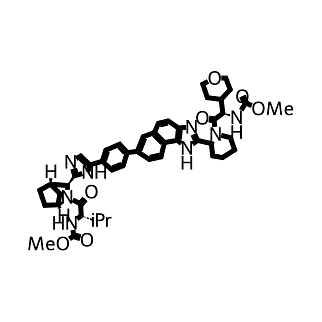 COC(=O)N[C@H](C(=O)N1[C@@H]2CC[C@@H](C2)[C@H]1c1ncc(-c2ccc(-c3ccc4c(ccc5nc(C6CCCCN6C(=O)[C@@H](NC(=O)OC)C6CCOCC6)[nH]c54)c3)cc2)[nH]1)C(C)C